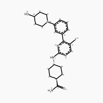 NC(=O)[C@H]1CC[C@H](Nc2ncc(F)c(-c3cccc(N4CCC(O)CC4)c3)n2)CC1